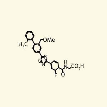 COCc1cc(-c2nc(C3=CC(F)C(C(=O)NCC(=O)O)C=C3)no2)ccc1-c1ccccc1C